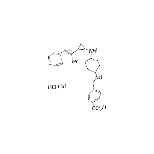 CC(C)/C(=C\c1ccccc1)C1CC1N[C@H]1CC[C@H](NCc2ccc(C(=O)O)cc2)CC1.Cl.Cl